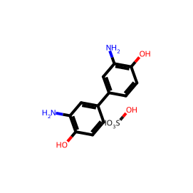 Nc1cc(-c2ccc(O)c(N)c2)ccc1O.O=S(=O)(O)O